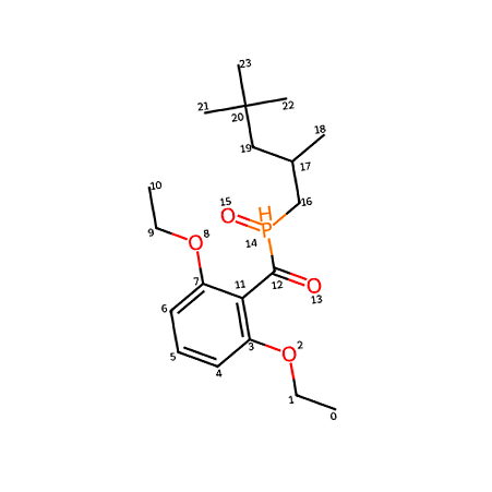 CCOc1cccc(OCC)c1C(=O)[PH](=O)CC(C)CC(C)(C)C